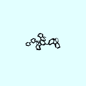 c1ccc(-c2cccc(-n3c4ccccc4c4cc(-c5ccc6oc7ccccc7c6c5)c5sc6ccccc6c5c43)c2)cc1